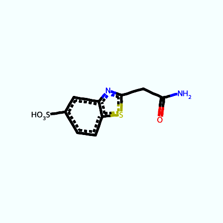 NC(=O)Cc1nc2cc(S(=O)(=O)O)ccc2s1